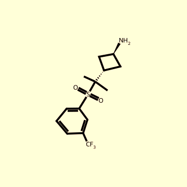 CC(C)([C@H]1C[C@H](N)C1)S(=O)(=O)c1cccc(C(F)(F)F)c1